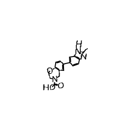 Cc1nc2ccc(-c3ccc4c(c3)CN(C(=O)O)CCO4)cc2[nH]1